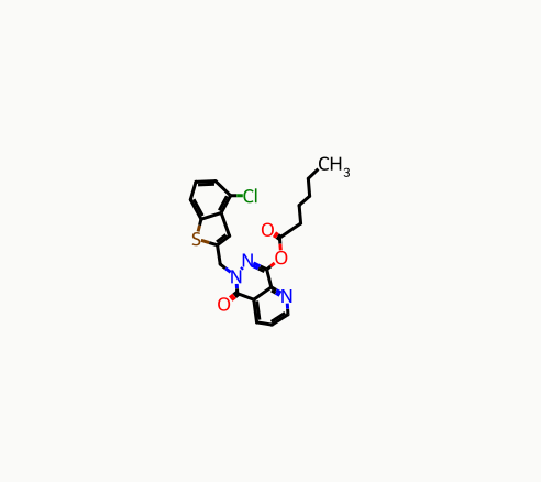 CCCCCC(=O)Oc1nn(Cc2cc3c(Cl)cccc3s2)c(=O)c2cccnc12